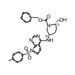 Cc1ccc(S(=O)(=O)n2ccc3c(N[C@@H]4CC[C@@H](CO)N(C(=O)OCc5ccccc5)C4)ncnc32)cc1